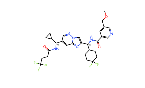 COCc1cncc(C(=O)N[C@H](c2cn3ncc([C@H](NC(=O)CCC(F)(F)F)C4CC4)cc3n2)C2CCC(F)(F)CC2)c1